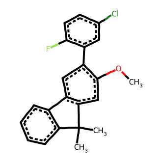 COc1cc2c(cc1-c1cc(Cl)ccc1F)-c1ccccc1C2(C)C